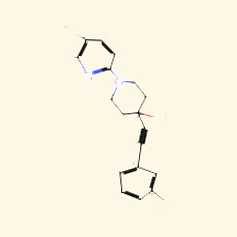 OC1(C#Cc2cccc(Cl)c2)CCN(c2ccc(F)cn2)CC1